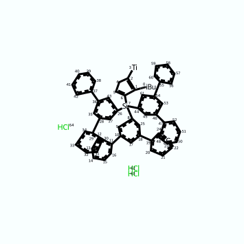 CCC(C)C1=[C]([Ti])CC=C1[Si](c1cc(-c2ccccc2)cc(-c2ccccc2)c1)(c1cc(-c2ccccc2)cc(-c2ccccc2)c1)c1cc(-c2ccccc2)cc(-c2ccccc2)c1.Cl.Cl.Cl